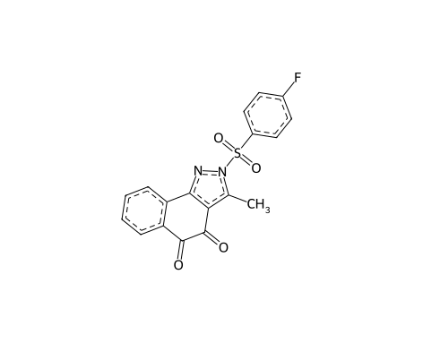 Cc1c2c(nn1S(=O)(=O)c1ccc(F)cc1)-c1ccccc1C(=O)C2=O